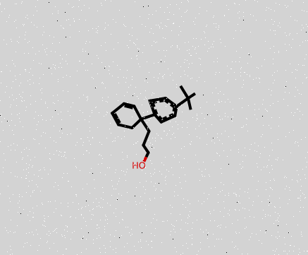 CC(C)(C)c1ccc(C2(CCCO)C=CC=CC2)cc1